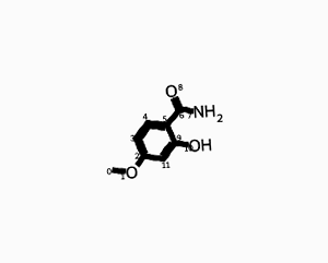 COC1=C=C=C(C(N)=O)C(O)=C1